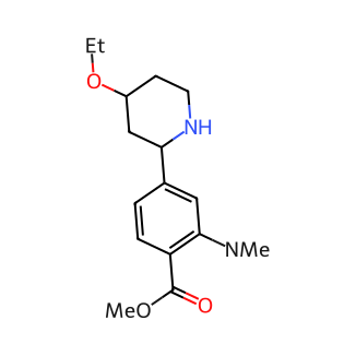 CCOC1CCNC(c2ccc(C(=O)OC)c(NC)c2)C1